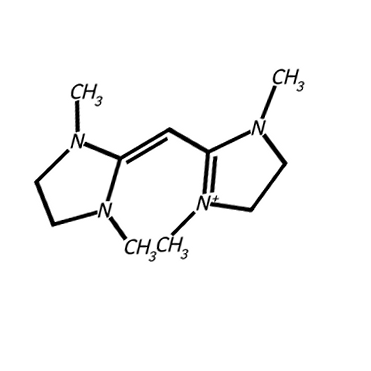 CN1CCN(C)C1=CC1=[N+](C)CCN1C